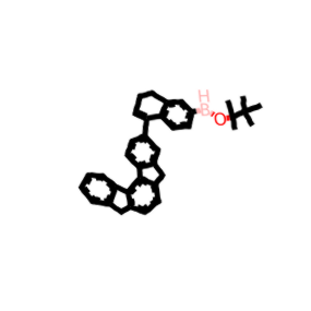 CC(C)(C)C(C)(C)OBc1ccc2c(c1)CCC=C2c1ccc2c(c1)Cc1ccc3c(c1-2)-c1ccccc1C3